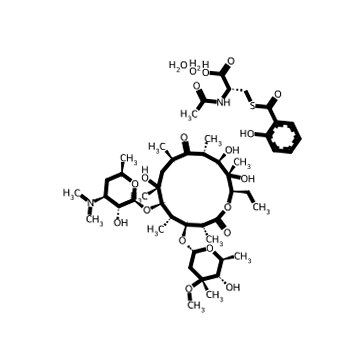 CC(=O)N[C@@H](CSC(=O)c1ccccc1O)C(=O)O.CC[C@H]1OC(=O)[C@H](C)[C@@H](O[C@H]2C[C@@](C)(OC)[C@@H](O)[C@H](C)O2)[C@H](C)[C@@H](O[C@@H]2O[C@H](C)C[C@H](N(C)C)[C@H]2O)[C@](C)(O)C[C@@H](C)C(=O)[C@H](C)[C@@H](O)[C@]1(C)O.O.O